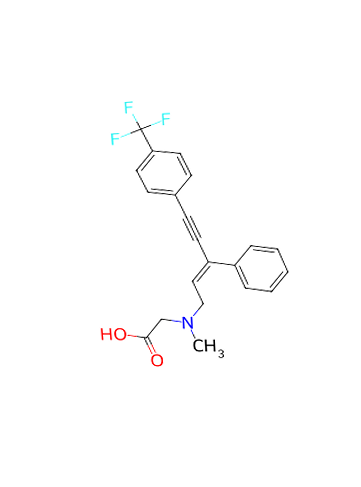 CN(CC=C(C#Cc1ccc(C(F)(F)F)cc1)c1ccccc1)CC(=O)O